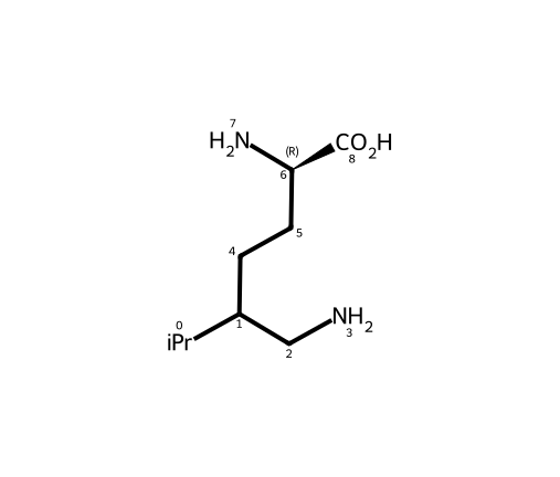 CC(C)C(CN)CC[C@@H](N)C(=O)O